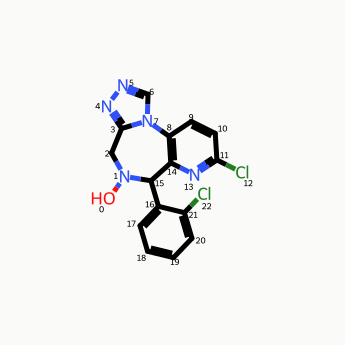 ON1Cc2nncn2-c2ccc(Cl)nc2C1c1ccccc1Cl